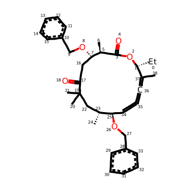 CC[C@H]1OC(=O)[C@H](C)[C@@H](OCc2ccccc2)CC(=O)C(C)(C)C[C@@H](C)[C@H](OCc2ccccc2)C=C=C=C1C